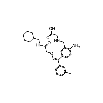 Cc1cccc(C(=NOCC(=O)NCC2CCCCC2)c2ccc(N)c(CNCC(=O)O)c2)c1